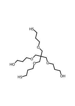 OCCCOCC(COCCCO)(COCCCS)COCCCS